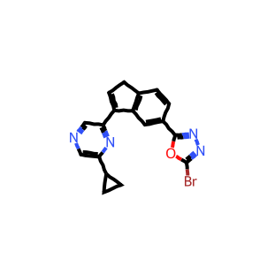 Brc1nnc(-c2ccc3c(c2)C(c2cncc(C4CC4)n2)=CC3)o1